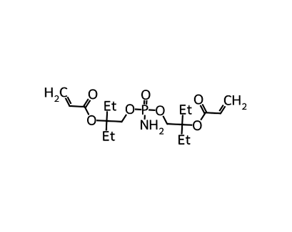 C=CC(=O)OC(CC)(CC)COP(N)(=O)OCC(CC)(CC)OC(=O)C=C